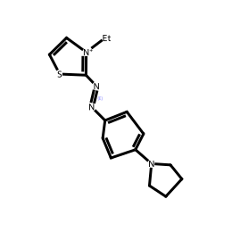 CC[n+]1ccsc1/N=N/c1ccc(N2CCCC2)cc1